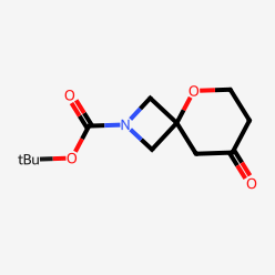 CC(C)(C)OC(=O)N1CC2(CC(=O)CCO2)C1